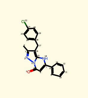 Cc1nn2c(=O)cc(-c3ccccc3)[nH]c2c1Cc1ccc(Cl)cc1